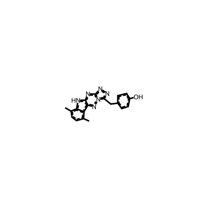 Cc1ccc(C)c2c1[nH]c1nc3nnc(Cc4ccc(O)cc4)n3nc12